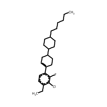 CCCCCCC1CCC(C2CC=C(c3ccc(CC)c(Cl)c3F)CC2)CC1